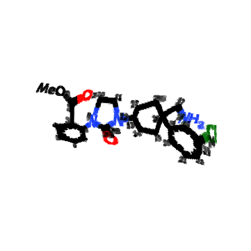 COC(=O)c1ccccc1N1CCN(C2CCC(CN)(c3cccc(Cl)c3)CC2)C1=O